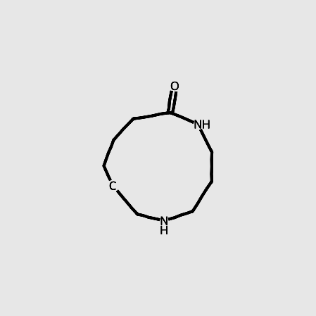 O=C1CCCCCNCCCN1